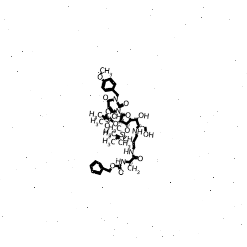 COc1ccc(Cn2c(=O)ccn([C@@H]3OC([C@H](O)[C@H](CO)NCCCNC(=O)[C@H](C)NC(=O)OCc4ccccc4)[C@@H](O[Si](C)(C)C(C)(C)C)[C@H]3O[Si](C)(C)C(C)(C)C)c2=O)cc1